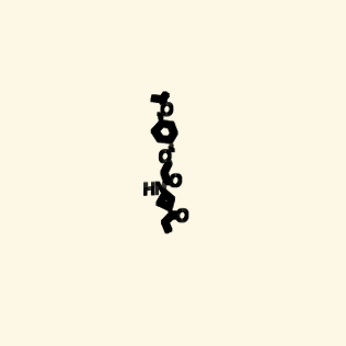 CCC(=O)[C@H]1C[C@H](NC(=O)CCOC[C@H]2CC[C@H](COC(C)C)CC2)C1